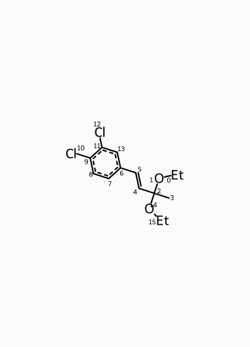 CCOC(C)(C=Cc1ccc(Cl)c(Cl)c1)OCC